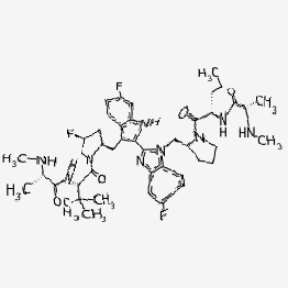 CCC[C@H](NC(=O)[C@H](C)NC)C(=O)N1CCC[C@H]1Cn1c(-c2[nH]c3cc(F)ccc3c2C[C@@H]2C[C@H](F)CN2C(=O)[C@@H](NC(=O)[C@H](C)NC)C(C)(C)C)nc2cc(F)ccc21